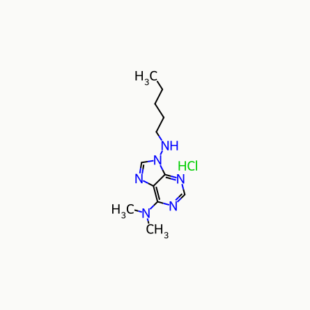 CCCCCNn1cnc2c(N(C)C)ncnc21.Cl